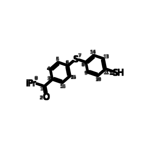 CC(C)C(=O)c1ccc(Sc2ccc(S)cc2)cc1